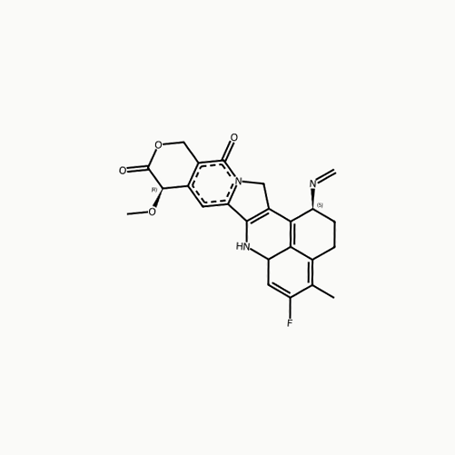 C=N[C@H]1CCC2=C(C)C(F)=CC3NC4=C(Cn5c4cc4c(c5=O)COC(=O)[C@@H]4OC)C1=C23